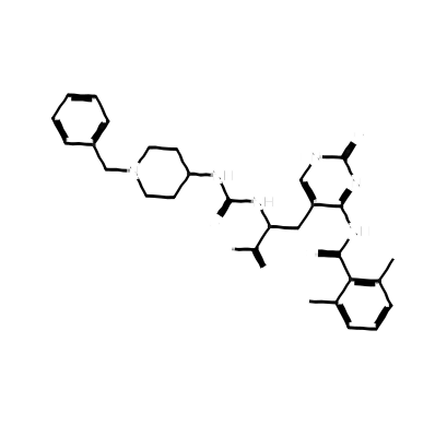 Cc1cccc(C)c1C(=O)Nc1nc(=O)[nH]cc1CC(NC(=O)NC1CCN(Cc2ccccc2)CC1)C(=O)O